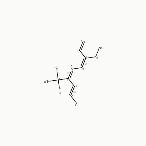 C=C\C(=C/N=C(\C=C\C)C(F)(F)F)CC